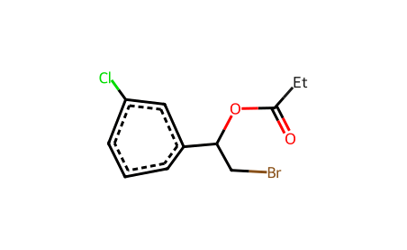 CCC(=O)OC(CBr)c1cccc(Cl)c1